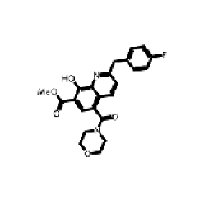 COC(=O)c1cc(C(=O)N2CCOCC2)c2ccc(Cc3ccc(F)cc3)nc2c1O